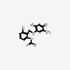 CCC(=O)Oc1cccc(Cl)c1COc1cc(C)c(CC)cc1CC